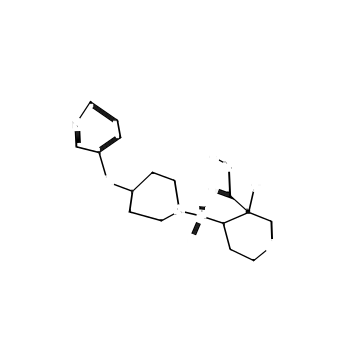 O=C(NO)C1(O)COCCC1S(=O)(=O)N1CCC(Oc2cccnc2)CC1